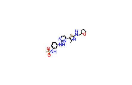 Cc1nc(NCC2CCCO2)sc1-c1ccnc(Nc2cccc(NS(C)(=O)=O)c2)n1